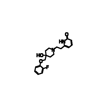 O=c1cccc(CCN2CCC(O)(COc3ccccc3F)CC2)[nH]1